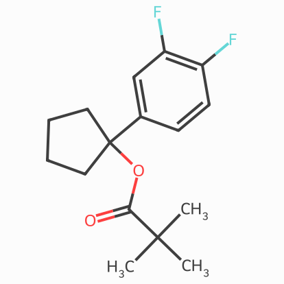 CC(C)(C)C(=O)OC1(c2ccc(F)c(F)c2)CCCC1